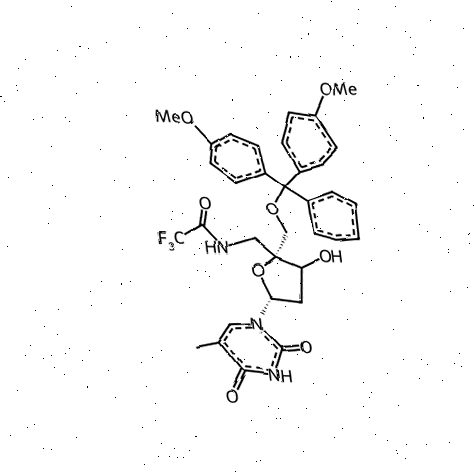 COc1ccc(C(OC[C@@]2(CNC(=O)C(F)(F)F)O[C@@H](n3cc(C)c(=O)[nH]c3=O)CC2O)(c2ccccc2)c2ccc(OC)cc2)cc1